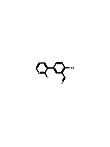 O=Cc1cc(-c2cccnc2Cl)ccc1O